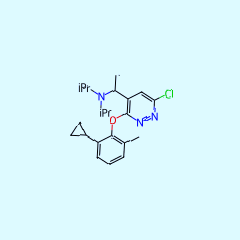 [CH2]C(c1cc(Cl)nnc1Oc1c(C)cccc1C1CC1)N(C(C)C)C(C)C